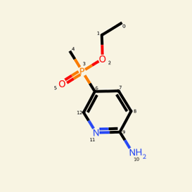 CCOP(C)(=O)c1ccc(N)nc1